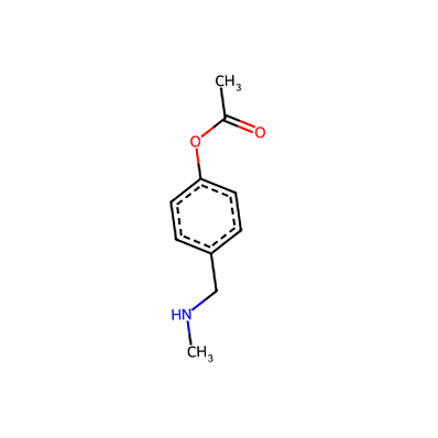 CNCc1ccc(OC(C)=O)cc1